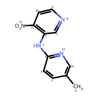 Cc1ccc(Nc2cnccc2[N+](=O)[O-])nc1